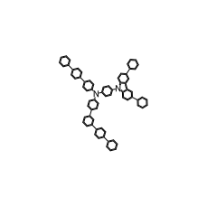 c1ccc(-c2ccc(-c3ccc(N(c4ccc(-c5cccc(-c6ccc(-c7ccccc7)cc6)c5)cc4)c4ccc(-n5c6ccc(-c7ccccc7)cc6c6cc(-c7ccccc7)ccc65)cc4)cc3)cc2)cc1